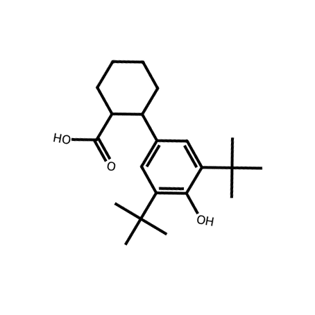 CC(C)(C)c1cc(C2CCCCC2C(=O)O)cc(C(C)(C)C)c1O